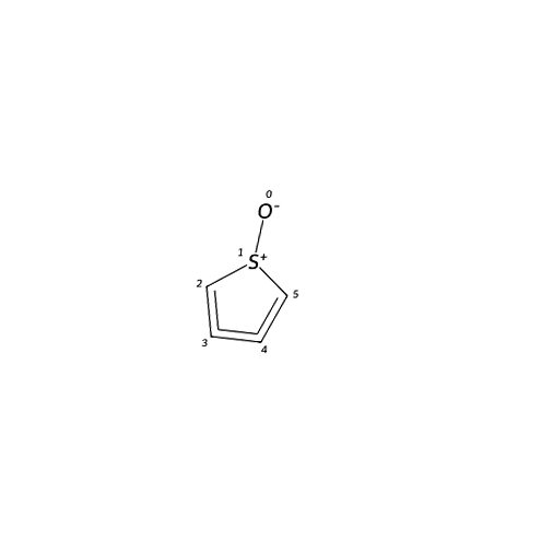 [O-][S+]1C=C=C=C1